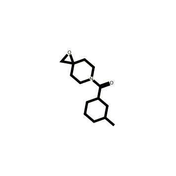 CC1CCCC(C(=O)N2CCC3(CC2)CO3)C1